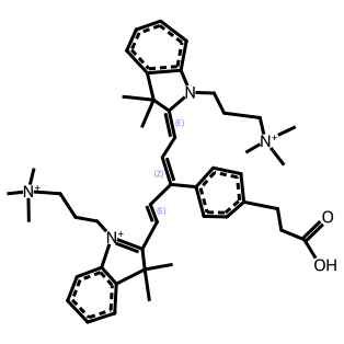 CC1(C)C(/C=C/C(=C/C=C2/N(CCC[N+](C)(C)C)c3ccccc3C2(C)C)c2ccc(CCC(=O)O)cc2)=[N+](CCC[N+](C)(C)C)c2ccccc21